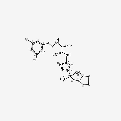 CCCC(NCCc1cc(F)cc(F)c1)C(=O)Nc1cn(C(C)(C)CN2CCCC2)cn1